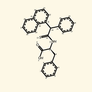 O=C(O)[C@H](Cc1ccccc1)NC(=S)C(c1ccccc1)c1cccc2ccccc12